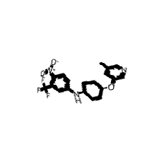 Cc1cncc(O[C@H]2CC[C@H](Nc3ccc([N+](=O)[O-])c(C(F)(F)F)c3)CC2)c1